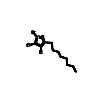 CCCCCCCCc1n[s+]([O-])c(Cl)c1Cl